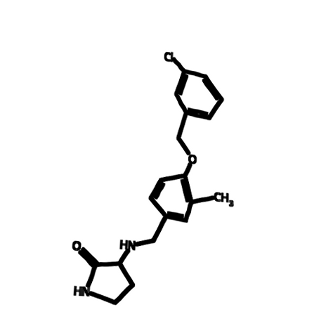 Cc1cc(CNC2CCNC2=O)ccc1OCc1cccc(Cl)c1